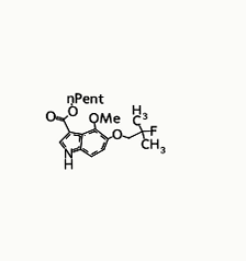 CCCCCOC(=O)c1c[nH]c2ccc(OCC(C)(C)F)c(OC)c12